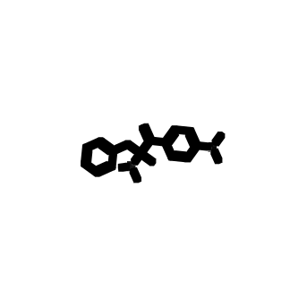 C=C(c1ccc(N(C)C)cc1)C(C)(Cc1ccccc1)N(C)C